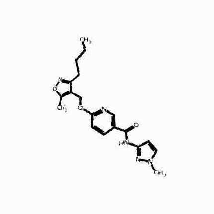 CCCCc1noc(C)c1COc1ccc(C(=O)Nc2ccn(C)n2)cn1